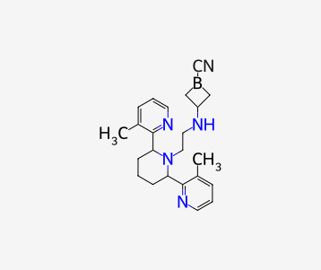 Cc1cccnc1C1CCCC(c2ncccc2C)N1CCNC1CB(C#N)C1